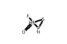 O=[SH]1(F)PS1